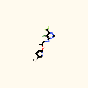 CC(CNc1ncnc(C(F)F)c1Cl)Oc1ccc(C(F)(F)F)cn1